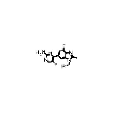 Cc1nc2c(F)cc(-c3nc(N)ncc3F)cc2n1CC(C)C